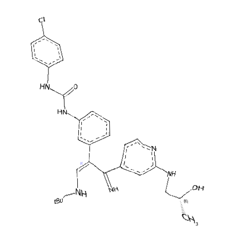 C[C@@H](O)CNc1cc(C(=N)/C(=C\NC(C)(C)C)c2cccc(NC(=O)Nc3ccc(Cl)cc3)c2)ccn1